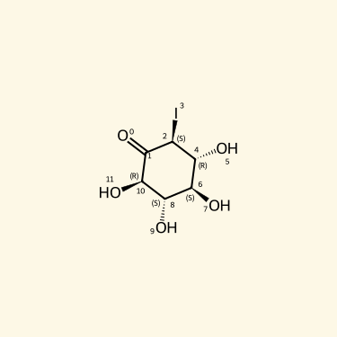 O=C1[C@@H](I)[C@H](O)[C@@H](O)[C@H](O)[C@H]1O